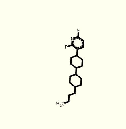 CCCCC1CCC(C2CCC(c3ccc(F)nc3F)CC2)CC1